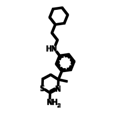 CC1(c2cccc(NCCC3CCCCC3)c2)CCSC(N)=N1